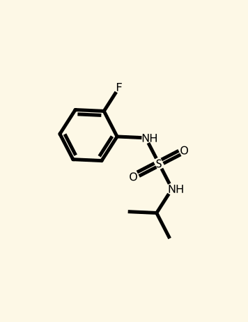 CC(C)NS(=O)(=O)Nc1ccccc1F